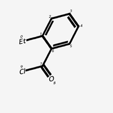 CCc1ccccc1C(=O)Cl